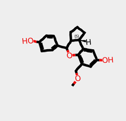 COCc1cc(O)cc2c1OC(c1ccc(O)cc1)C1CCC[C@H]21